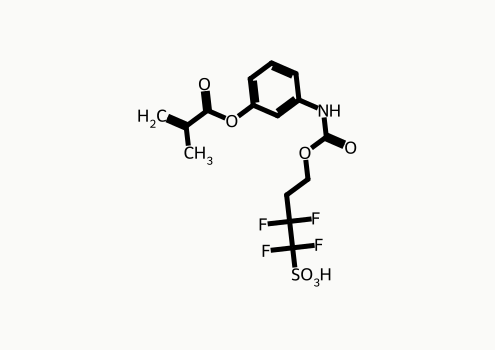 C=C(C)C(=O)Oc1cccc(NC(=O)OCCC(F)(F)C(F)(F)S(=O)(=O)O)c1